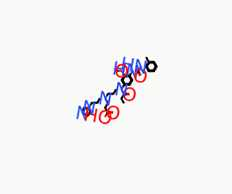 CCC(=O)N(CCCN(CCCn1ccnc1)CCC(=O)O)c1ccc(NC(=O)Nc2ccccc2C)c(OC)c1